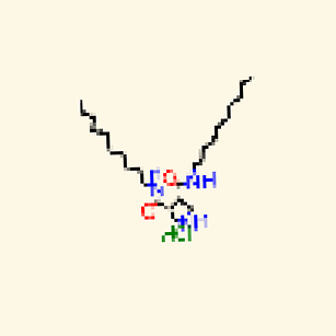 CCCCCCCCCCNC(=O)[C@@H]1CNC[C@H]1C(=O)NCCCCCCCCCC.Cl